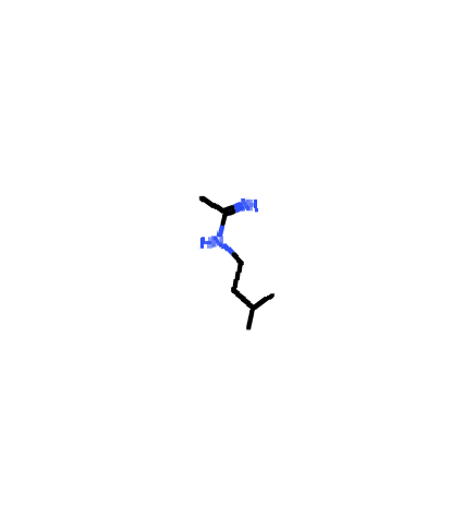 CC(=N)NCCC(C)C